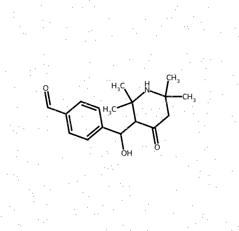 CC1(C)CC(=O)C(C(O)c2ccc(C=O)cc2)C(C)(C)N1